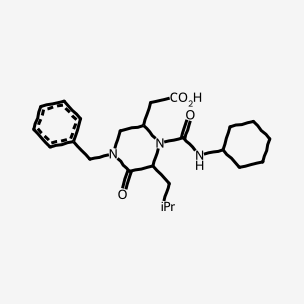 CC(C)CC1C(=O)N(Cc2ccccc2)CC(CC(=O)O)N1C(=O)NC1CCCCC1